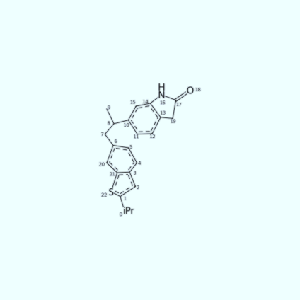 CC(C)c1cc2ccc(CC(C)c3ccc4c(c3)NC(=O)C4)cc2s1